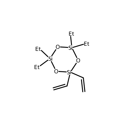 C=C[Si]1(C=C)O[Si](CC)(CC)O[Si](CC)(CC)O1